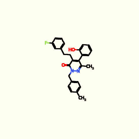 Cc1ccc(Cn2nc(C)c(-c3ccccc3O)c(CCc3cccc(F)c3)c2=O)cc1